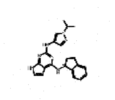 CC(C)n1cc(Nc2nc(N[C@H]3CCc4ccccc43)c3cc[nH]c3n2)cn1